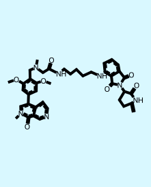 C=C1CCC(N2C(=O)c3cccc(NCCCCCNC(=O)CN(C)Cc4c(OC)cc(-c5cn(C)c(=O)c6cnccc56)cc4OC)c3C2=O)C(=O)N1